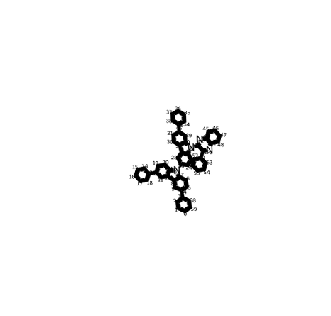 c1ccc(-c2ccc3c(c2)c2cc(-c4ccccc4)ccc2n3-c2ccc3c(c2)c2ccc(-c4ccccc4)cc2n3-c2nc3ccccc3nc2-c2ccccc2)cc1